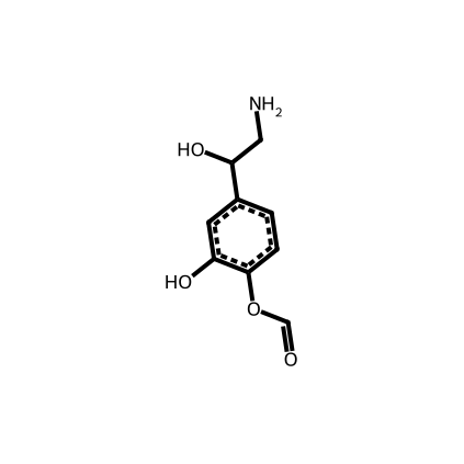 NCC(O)c1ccc(OC=O)c(O)c1